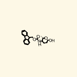 C[C@@H]1OC(O)CC[C@H]1NC(=O)OCC1c2ccccc2-c2ccccc21